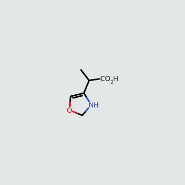 CC(C(=O)O)C1=COCN1